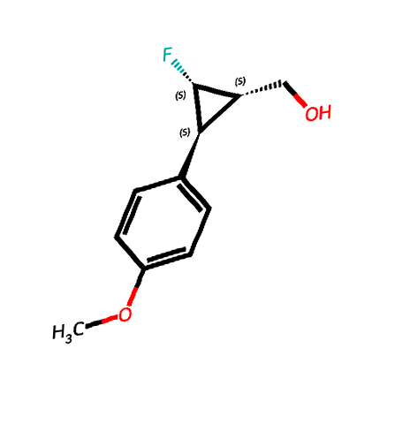 COc1ccc([C@H]2[C@H](F)[C@@H]2CO)cc1